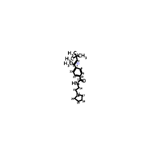 C/C(=C\C(C)(C)C)c1ccc(C(=O)NCCN2CCCC2)cc1